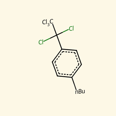 CCCCc1ccc(C(Cl)(Cl)C(Cl)(Cl)Cl)cc1